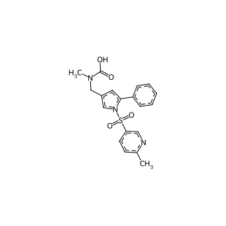 Cc1ccc(S(=O)(=O)n2cc(CN(C)C(=O)O)cc2-c2ccccc2)cn1